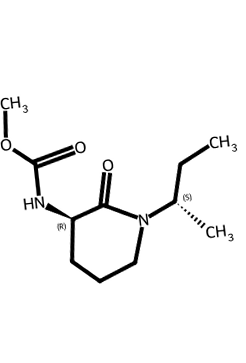 CC[C@H](C)N1CCC[C@@H](NC(=O)OC)C1=O